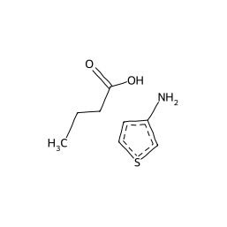 CCCC(=O)O.Nc1ccsc1